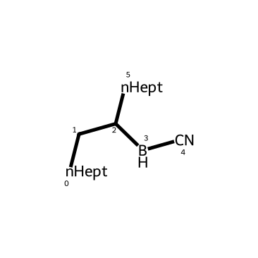 CCCCCCCCC(BC#N)CCCCCCC